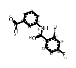 O=C(Cl)c1cccc(NC(=O)c2ccc(F)cc2F)c1